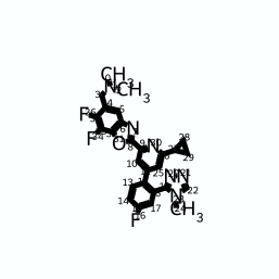 CN(C)Cc1cc2nc(-c3cc(-c4ccc(F)cc4-c4nncn4C)cc(C4CC4)n3)oc2c(F)c1F